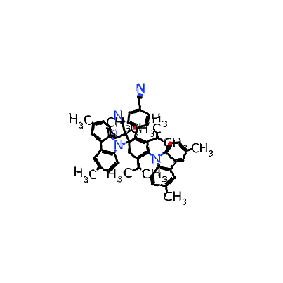 C/C=C\C(C)(C#N)C1(n2c3ccc(C)cc3c3cc(C)ccc32)CC(C(C)C)=C(n2c3ccc(C)cc3c3cc(C)ccc32)C(C(C)C)=C1c1ccc(C#N)cc1